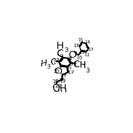 Cc1c(C)c2c(c(C)c1OCc1ccccc1)CC(CCO)O2